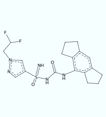 N=S(=O)(NC(=O)Nc1c2c(cc3c1CCC3)CCC2)c1cnn(CC(F)F)c1